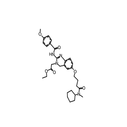 CCOC(=O)CN1Cc2cc(OCCCC(=O)N(C)C3CCCCC3)ccc2N=C1NC(=O)c1ccc(OC)cc1